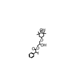 CC1(C)CC(OCC(O)COC(=O)C(I)c2ccccc2)CC(C)(C)N1O